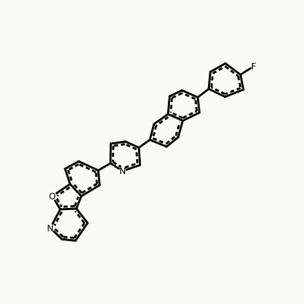 Fc1ccc(-c2ccc3cc(-c4ccc(-c5ccc6oc7ncccc7c6c5)nc4)ccc3c2)cc1